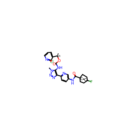 C[C@@H](OC(=O)Nc1c(-c2ccc(NC(=O)C34CCC(F)(CC3)CC4)cn2)nnn1C)c1cccnc1Cl